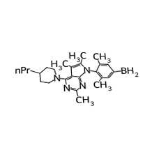 Bc1cc(C)c(-n2c(C)c(C)c3c(N4CCC(CCC)CC4)nc(C)nc32)c(C)c1